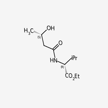 CCOC(=O)[C@H](NC(=O)C[C@H](C)O)C(C)C